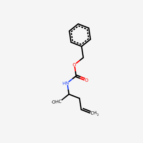 C=CCC([C]=O)NC(=O)OCc1ccccc1